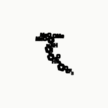 COc1cc(Nc2nccc(N3CCC[C@H](C(=O)NCc4cccc(OC(F)(F)F)c4)C3)n2)cc(OC)c1OC